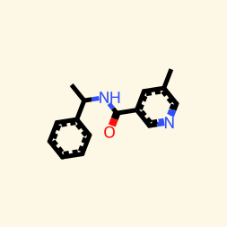 Cc1cncc(C(=O)NC(C)c2ccccc2)c1